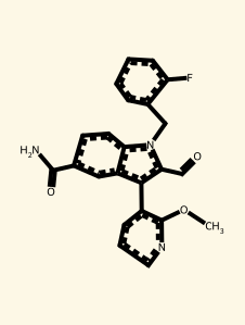 COc1ncccc1-c1c([C]=O)n(Cc2ccccc2F)c2ccc(C(N)=O)cc12